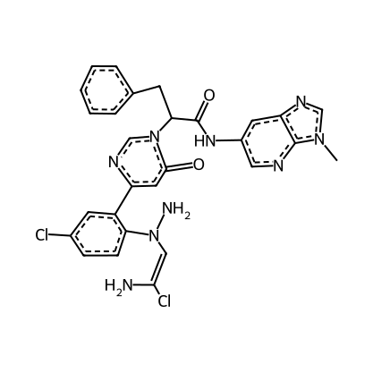 Cn1cnc2cc(NC(=O)C(Cc3ccccc3)n3cnc(-c4cc(Cl)ccc4N(N)/C=C(\N)Cl)cc3=O)cnc21